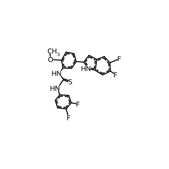 COc1ccc(-c2cc3cc(F)c(F)cc3[nH]2)cc1NC(=S)Nc1ccc(F)c(F)c1